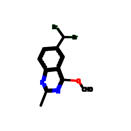 Cc1nc(OC=O)c2cc(C(Br)Br)ccc2n1